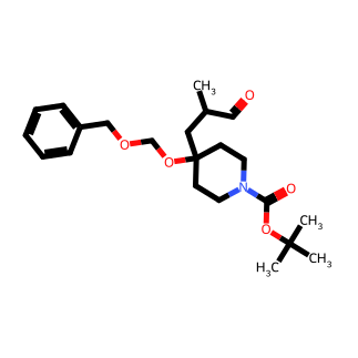 CC(C=O)CC1(OCOCc2ccccc2)CCN(C(=O)OC(C)(C)C)CC1